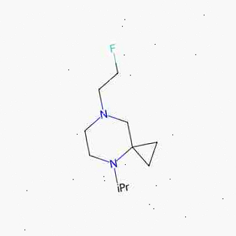 CC(C)N1CCN(CCF)CC12CC2